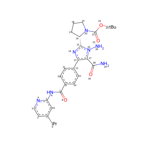 CC(C)c1ccnc(NC(=O)c2ccc(-c3nc([C@@H]4CCCN4C(=O)OC(C)(C)C)n(N)c3C(N)=O)cc2)c1